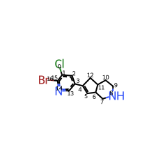 Clc1cc(C2=CC3CNCCC3C2)cnc1Br